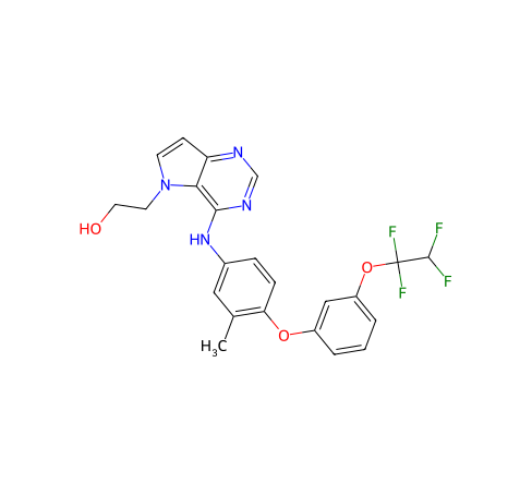 Cc1cc(Nc2ncnc3ccn(CCO)c23)ccc1Oc1cccc(OC(F)(F)C(F)F)c1